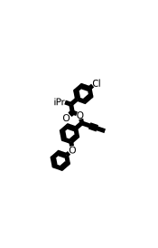 CC#CC(OC(=O)C(c1ccc(Cl)cc1)C(C)C)c1cccc(Oc2ccccc2)c1